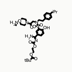 CC(C)c1ccc(CCN(CC(=O)N2CCOCC2)S(=O)(=O)c2cc(/C(N)=N/C(=O)OCCOC(=O)C(C)(C)C)ccc2O)cc1.CN